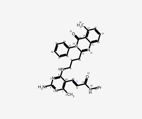 Cc1nc(N)nc(NCCCc2nc3cccc(C)c3c(=O)n2-c2ccccc2)c1/C=C/C(=O)NC(C)C